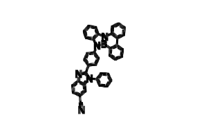 N#Cc1ccc2nc(-c3ccc(N4B5c6ccccc6-c6ccccc6N5c5ccccc54)cc3)n(-c3ccccc3)c2c1